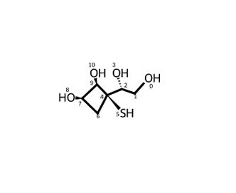 OC[C@@H](O)[C@]1(S)C[C@@H](O)[C@H]1O